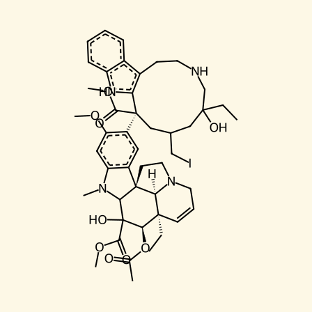 CCC1(O)CNCCc2c([nH]c3ccccc23)[C@@](C(=O)OC)(c2cc3c(cc2OC)N(C)C2C(O)(C(=O)OC)[C@H](OC(C)=O)[C@]4(CC)C=CCN5CC[C@]32[C@@H]54)CC(CI)C1